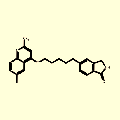 Cc1ccc2nc(C(F)(F)F)cc(OCCCCCc3ccc4c(c3)CNC4=O)c2c1